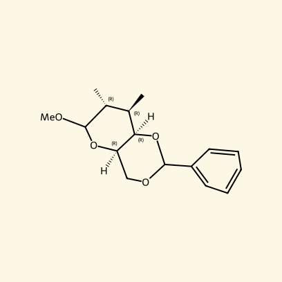 COC1O[C@@H]2COC(c3ccccc3)O[C@@H]2[C@H](C)[C@H]1C